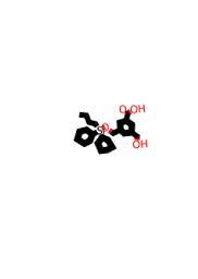 CCCC[Si](OCc1cc(CO)cc(C(=O)O)c1)(c1ccccc1)c1ccccc1